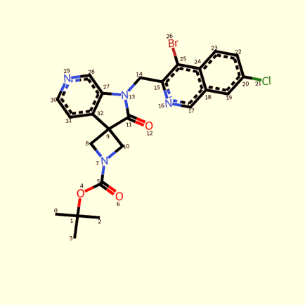 CC(C)(C)OC(=O)N1CC2(C1)C(=O)N(Cc1ncc3cc(Cl)ccc3c1Br)c1cnccc12